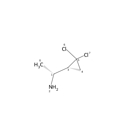 C[C@@H](N)[C@H]1CC1(Cl)Cl